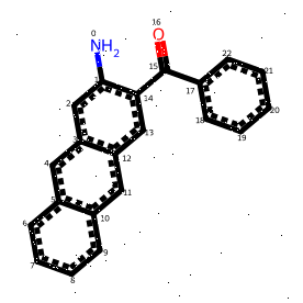 Nc1cc2cc3ccccc3cc2cc1C(=O)c1ccccc1